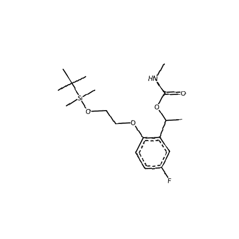 CNC(=O)OC(C)c1cc(F)ccc1OCCO[Si](C)(C)C(C)(C)C